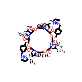 CC(C)C[C@H]1C(=O)O[C@H](Cc2ccc(Cn3cccn3)cc2)C(=O)N(C)[C@@H](CC(C)C)C(=O)O[C@H](C)C(=O)N(C)[C@@H](CC(C)C)C(=O)O[C@H](Cc2ccc(Cn3cccn3)cc2)C(=O)N(C)C(C(C)C)C(=O)O[C@H](C)C(=O)N1C